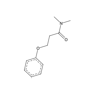 CN(C)C(=O)CCOc1cc[c]cc1